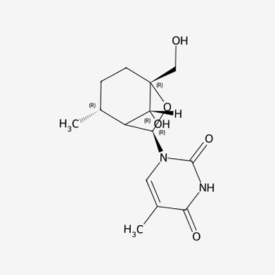 Cc1cn([C@@H]2O[C@@]3(CO)CC[C@@H](C)C2[C@H]3O)c(=O)[nH]c1=O